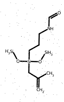 C=C(C)C[Si](CCCNC=O)(O[SiH3])O[SiH3]